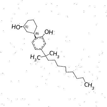 CCCCCCCCCC(C)(C)c1ccc([C@@H]2CCC[C@H](O)C2)c(O)c1